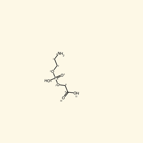 NCCOP(=O)(O)OCC(=O)O